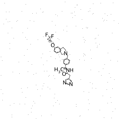 C[C@H](NC(=O)Cc1cncnc1)c1ccc(CN2CCc3cc(OC[C@@H]4CC4(F)F)ccc3C2)cc1